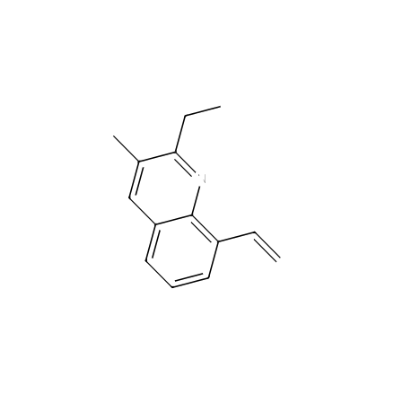 C=Cc1cccc2cc(C)c(CC)nc12